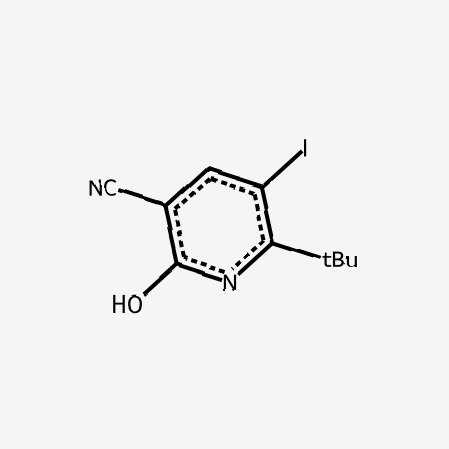 CC(C)(C)c1nc(O)c(C#N)cc1I